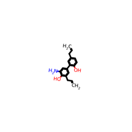 C=CCc1ccc(O)c(-c2cc(N)c(O)c(CC=C)c2)c1